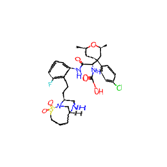 C[C@@H]1CC(c2ccc(Cl)cc2)([C@H](NC(=O)O)C(=O)Nc2cccc(F)c2CC[C@H]2CN[C@@H]3CCCS(=O)(=O)N2C3)C[C@H](C)O1